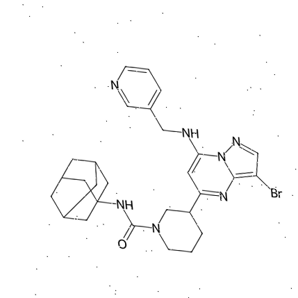 O=C(NC12CC3CC(CC(C3)C1)C2)N1CCCC(c2cc(NCc3cccnc3)n3ncc(Br)c3n2)C1